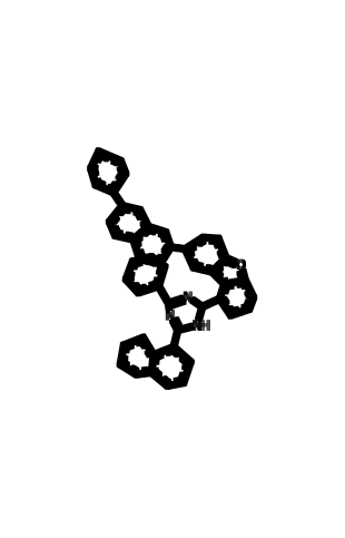 c1ccc(C2=NC(c3cccc4oc5ccc(-c6ccc7ccc(-c8ccccc8)cc7c6)cc5c34)NC(c3cccc4ccccc34)=N2)cc1